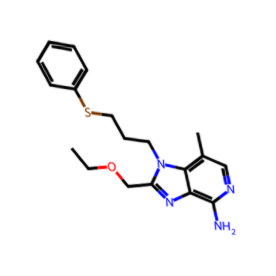 CCOCc1nc2c(N)ncc(C)c2n1CCCSc1ccccc1